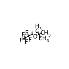 CC(C)(C)OCC(F)(F)C(F)(F)F